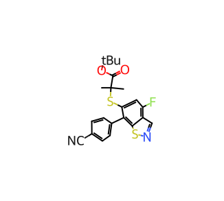 CC(C)(C)OC(=O)C(C)(C)Sc1cc(F)c2cnsc2c1-c1ccc(C#N)cc1